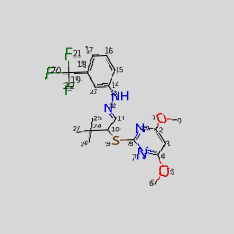 COc1cc(OC)nc(SC(C=NNc2cccc(C(F)(F)F)c2)C(C)(C)C)n1